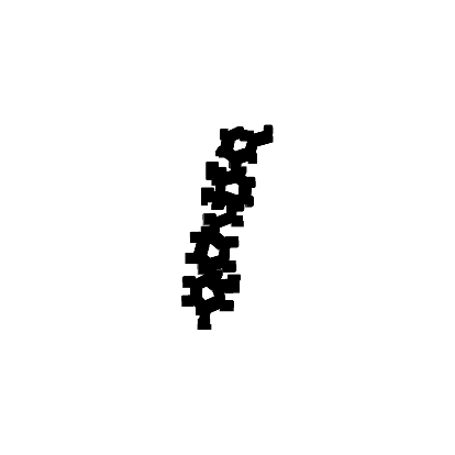 C=C/C=C(\C=C/C)c1ccc(CCc2ccc(-c3ccc(C)cc3F)cc2)c(F)c1F